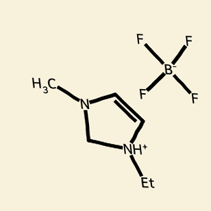 CC[NH+]1C=CN(C)C1.F[B-](F)(F)F